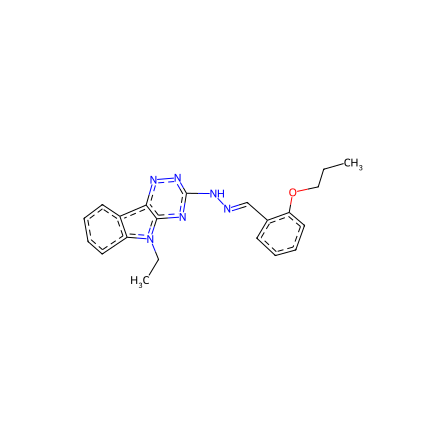 CCCOc1ccccc1/C=N/Nc1nnc2c3ccccc3n(CC)c2n1